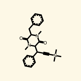 CN1C(=O)C(C(C#C[Si](C)(C)C)c2ccccc2)N(C)C(=O)C1Cc1ccccc1